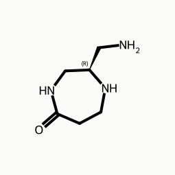 NC[C@@H]1CNC(=O)CCN1